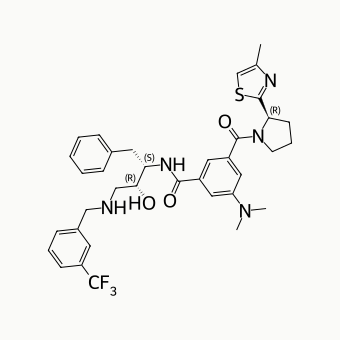 Cc1csc([C@H]2CCCN2C(=O)c2cc(C(=O)N[C@@H](Cc3ccccc3)[C@H](O)CNCc3cccc(C(F)(F)F)c3)cc(N(C)C)c2)n1